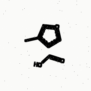 Cc1ccoc1.O=CO